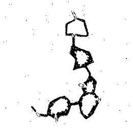 COc1ccc(-c2ccnc3cc(-c4ccc(N5CCNCC5)cc4)oc23)cn1